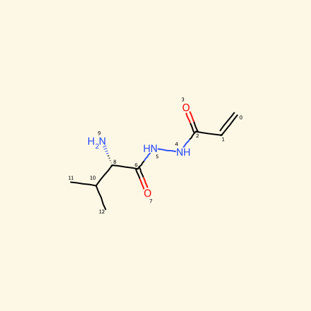 C=CC(=O)NNC(=O)[C@@H](N)C(C)C